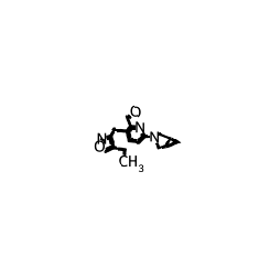 CCc1conc1Cc1ccc(N2CC3CC3C2)nc1C=O